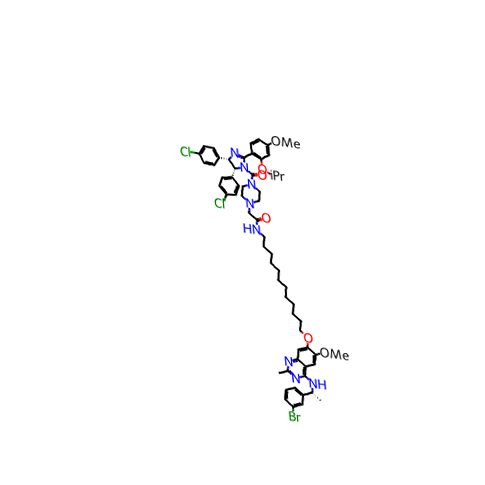 COc1ccc(C2=N[C@@H](c3ccc(Cl)cc3)[C@@H](c3ccc(Cl)cc3)N2C(=O)N2CCN(CC(=O)NCCCCCCCCCCCCOc3cc4nc(C)nc(N[C@H](C)c5cccc(Br)c5)c4cc3OC)CC2)c(OC(C)C)c1